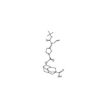 C=CCN(C(=O)OC(C)(C)C)[C@@H]1CCN(C(=O)OC2C3CC4CC2CC(C(=O)O)(C4)C3)C1